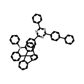 c1ccc(-c2ccc(-c3nc(-c4ccccc4)nc(-c4cccc(-c5cccc6c5C5(c7ccccc7-6)c6ccccc6N(c6ccccc6)c6ccccc65)c4)n3)cc2)cc1